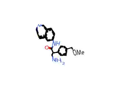 COCc1ccc(C(CN)C(=O)Nc2ccc3cnccc3c2)cc1